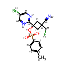 Cc1ccc(S(=O)(=O)OC2(c3ncc(Br)cn3)CC(C#N)(CF)C2)cc1